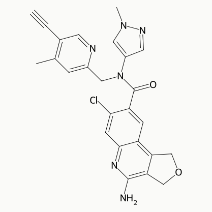 C#Cc1cnc(CN(C(=O)c2cc3c4c(c(N)nc3cc2Cl)COC4)c2cnn(C)c2)cc1C